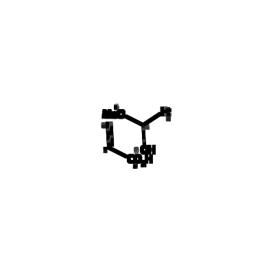 C=CC(=O)O.CCC(O)OC